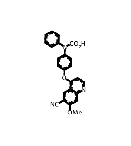 COc1cc2nccc(Oc3ccc(N(C(=O)O)c4ccccc4)cc3)c2cc1C#N